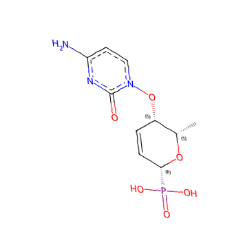 C[C@@H]1O[C@H](P(=O)(O)O)C=C[C@@H]1On1ccc(N)nc1=O